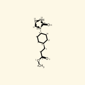 COC(=O)CC[C@H]1CC[C@H](n2cn[nH]c2=O)CC1